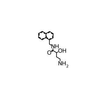 NCCC(O)C(=O)NCc1cccc2ccccc12